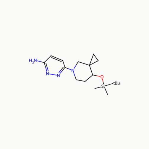 CC(C)(C)[Si](C)(C)OC1CCN(c2ccc(N)nn2)CC12CC2